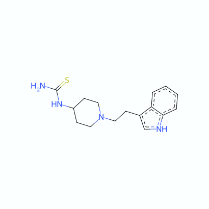 NC(=S)NC1CCN(CCc2c[nH]c3ccccc23)CC1